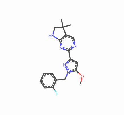 COc1cc(-c2ncc3c(n2)NCC3(C)C)nn1Cc1ccccc1F